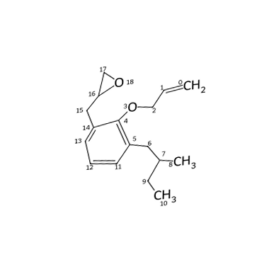 C=CCOc1c(CC(C)CC)cccc1CC1CO1